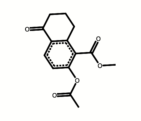 COC(=O)c1c(OC(C)=O)ccc2c1CCCC2=O